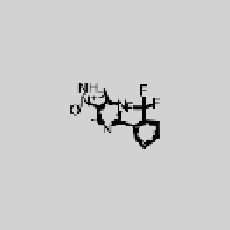 Cc1nc(-c2ccccc2C(F)(F)F)n[c]c1[N+](N)=O